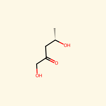 C[C@H](O)CC(=O)CO